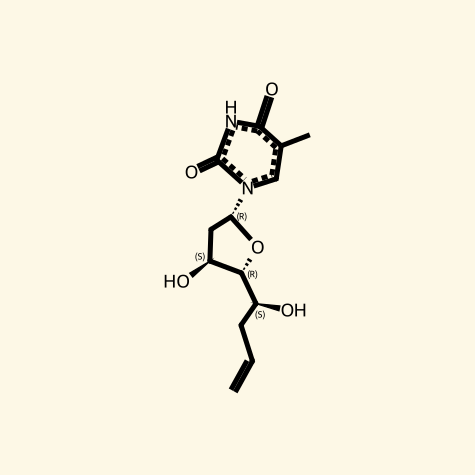 C=CC[C@H](O)[C@H]1O[C@@H](n2cc(C)c(=O)[nH]c2=O)C[C@@H]1O